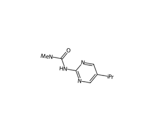 CNC(=O)Nc1ncc(C(C)C)cn1